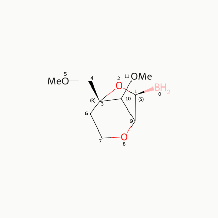 B[C@@H]1O[C@@]2(COC)CCOC1C2OC